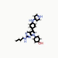 CCCCNc1ncc2c(-c3ccc(NC4CCNCC4)cc3)cn(C3CCC(O)CC3)c2n1